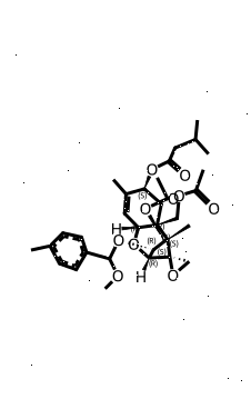 COC(O[C@@H]1[C@@H](OC(C)=O)[C@]2(C)[C@@]3(COC(C)=O)C[C@H](OC(=O)CC(C)C)C(C)=C[C@H]3O[C@H]1[C@@]21CO1)c1ccc(C)cc1